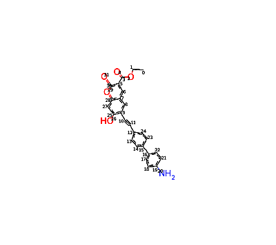 CCOC(=O)c1cc2cc(C#Cc3ccc(-c4ccc(N)cc4)cc3)c(O)cc2oc1=O